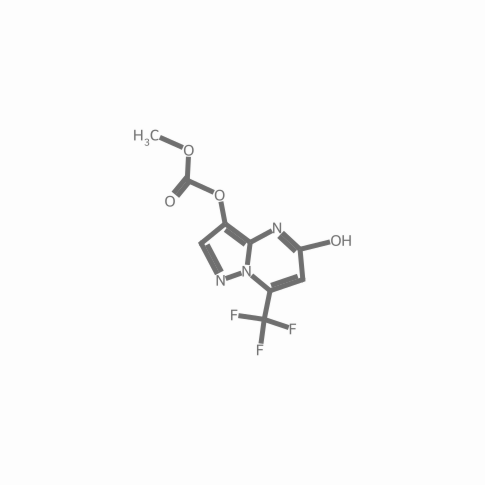 COC(=O)Oc1cnn2c(C(F)(F)F)cc(O)nc12